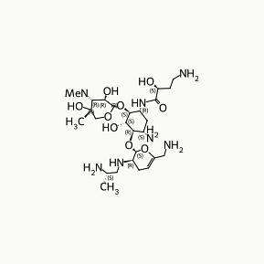 CN[C@@H]1[C@@H](O)[C@@H](O[C@@H]2[C@@H](O)[C@H](O[C@H]3OC(CN)=CC[C@H]3NC[C@H](C)N)[C@@H](N)C[C@H]2NC(=O)[C@@H](O)CCN)OC[C@]1(C)O